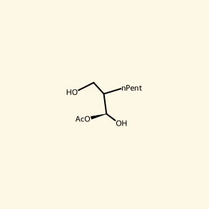 CCCCCC(CO)[C@@H](O)OC(C)=O